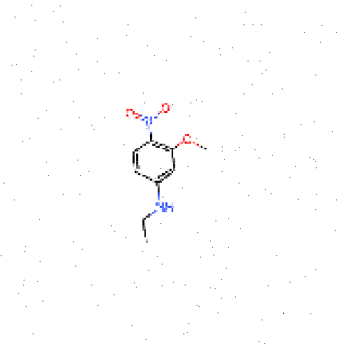 CCNc1ccc([N+](=O)[O-])c(OC)c1